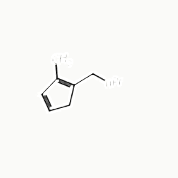 CCCCC1=C(C)[C]=CC1